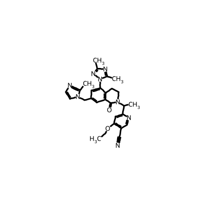 CCOc1cc(C(C)N2CCc3c(cc(Cn4ccnc4C)cc3-n3nc(C)nc3C)C2=O)ncc1C#N